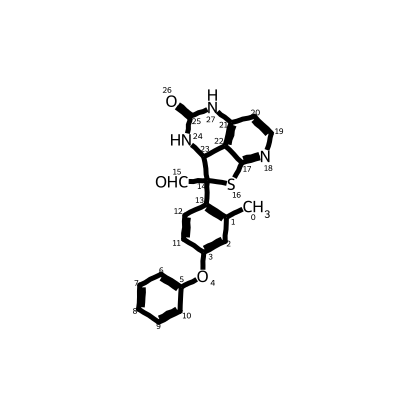 Cc1cc(Oc2ccccc2)ccc1C1(C=O)Sc2nccc3c2C1NC(=O)N3